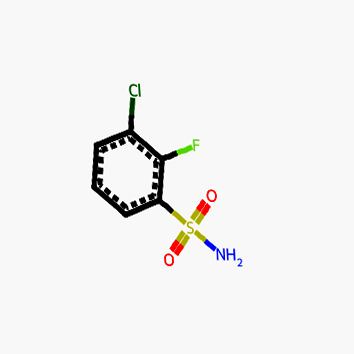 NS(=O)(=O)c1cccc(Cl)c1F